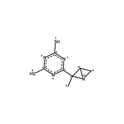 CC1(c2nc(S)nc(S)n2)C2CN21